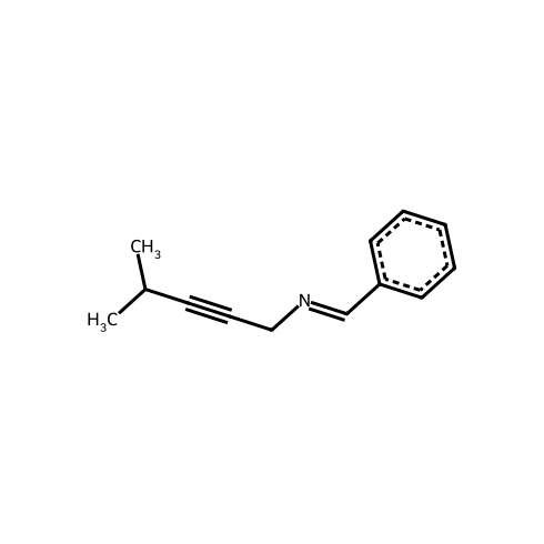 CC(C)C#CC/N=C/c1ccccc1